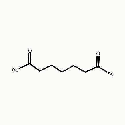 CC(=O)C(=O)CCCCCC(=O)C(C)=O